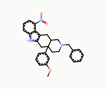 COc1cccc(C23CCN(Cc4ccccc4)CC2Cc2c([nH]c4cccc([N+](=O)[O-])c24)C3)c1